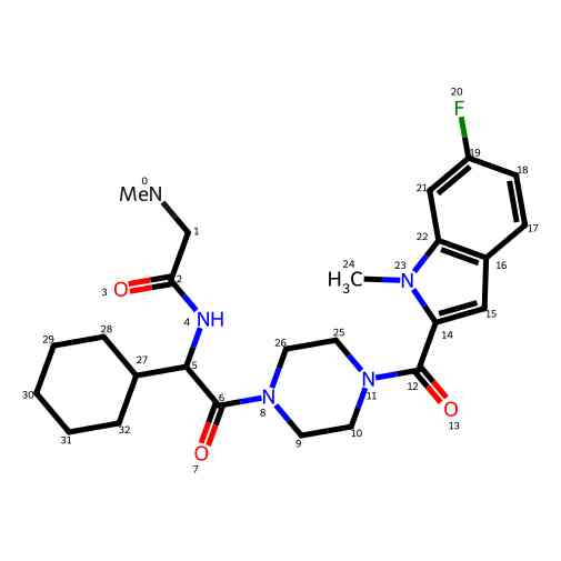 CNCC(=O)NC(C(=O)N1CCN(C(=O)c2cc3ccc(F)cc3n2C)CC1)C1CCCCC1